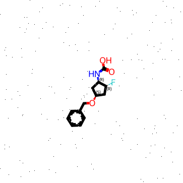 O=C(O)N[C@@H]1C[C@H](OCc2ccccc2)C[C@H]1F